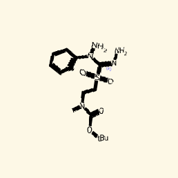 CN(CCS(=O)(=O)/C(=N/N)N(N)c1ccccc1)C(=O)OC(C)(C)C